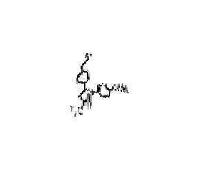 COc1ccc(-n2nc(C(F)(F)F)cc2-c2ccc(CCBr)cc2)cn1